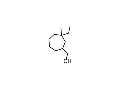 CCC1(C)CCCCC(CO)C1